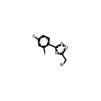 Fc1ccc(-c2noc(CBr)n2)c(F)c1